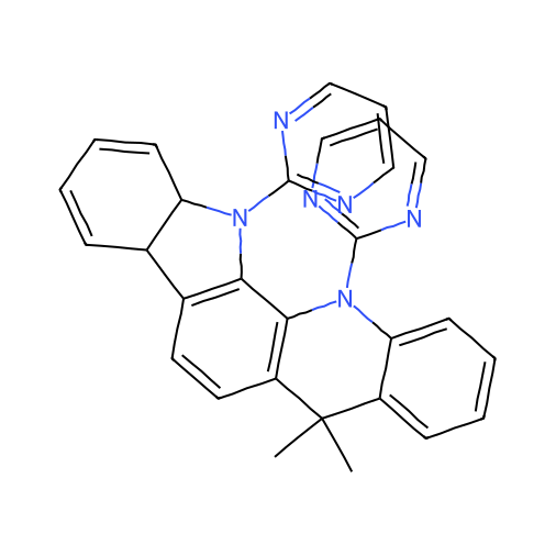 CC1(C)c2ccccc2N(c2ncccn2)c2c1ccc1c2N(c2ncccn2)C2C=CC=CC12